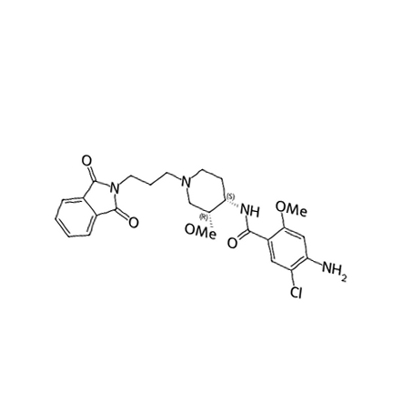 COc1cc(N)c(Cl)cc1C(=O)N[C@H]1CCN(CCCN2C(=O)c3ccccc3C2=O)C[C@H]1OC